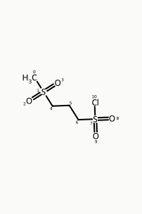 CS(=O)(=O)CCCS(=O)(=O)Cl